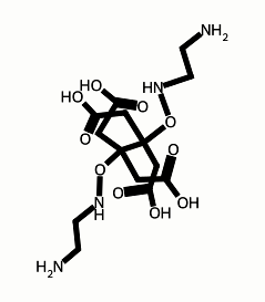 NCCNOC(CC(=O)O)(CC(=O)O)C(CC(=O)O)(CC(=O)O)ONCCN